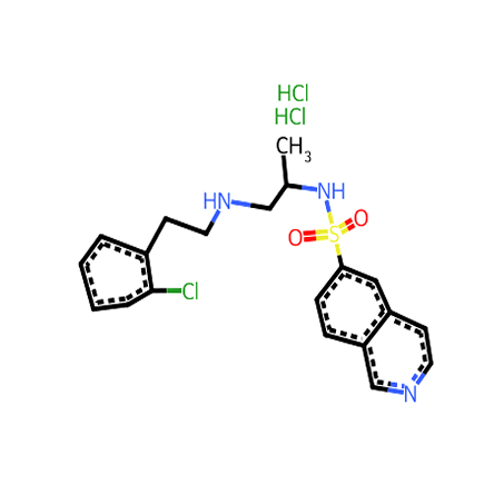 CC(CNCCc1ccccc1Cl)NS(=O)(=O)c1ccc2cnccc2c1.Cl.Cl